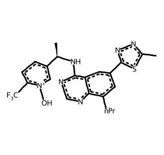 CCCc1cc(-c2nnc(C)s2)cc2c(N[C@H](C)c3ccc(C(F)(F)F)[n+](O)c3)ncnc12